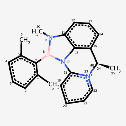 Cc1cccc(C)c1B1N(C)c2cccc3c2N1c1cccc[n+]1[C@@H]3C